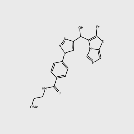 CCc1sc2cncn2c1C(O)c1cn(-c2ccc(C(=O)NCCOC)cc2)nn1